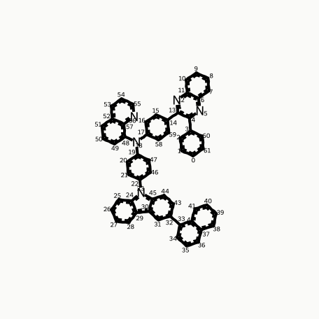 c1ccc(-c2nc3ccccc3nc2-c2ccc(N(c3ccc(-n4c5ccccc5c5cc(-c6cccc7ccccc67)ccc54)cc3)c3cccc4cccnc34)cc2)cc1